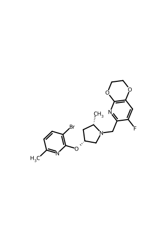 Cc1ccc(Br)c(O[C@@H]2C[C@H](C)N(Cc3nc4c(cc3F)OCCO4)C2)n1